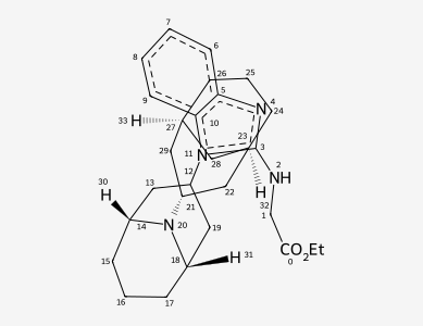 CCOC(=O)CNc1nc2ccccc2n1C1C[C@H]2CCC[C@@H](C1)N2[C@H]1C[C@@H]2CCC[C@@H](C2)C1